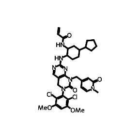 C=CC(=O)NC1CC(C2CCCC2)CCC1Nc1ncc2c(n1)N(Cc1ccn(C)c(=O)c1)C(=O)N(c1c(Cl)c(OC)cc(OC)c1Cl)C2